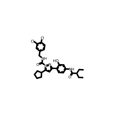 CCC(CC)C(=O)Nc1ccc(-c2cc(C3CCCC3)n(C(=O)NCc3ccc(Cl)c(Cl)c3)n2)c(O)c1